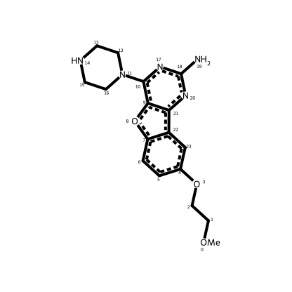 COCCOc1ccc2oc3c(N4CCNCC4)nc(N)nc3c2c1